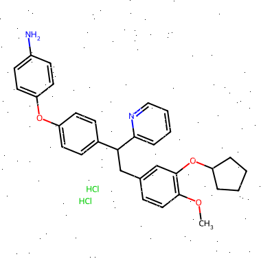 COc1ccc(CC(c2ccc(Oc3ccc(N)cc3)cc2)c2ccccn2)cc1OC1CCCC1.Cl.Cl